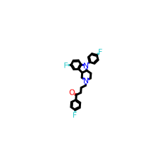 O=C(CCCN1CCC2C(C1)c1cc(F)ccc1N2c1ccc(F)cc1)c1ccc(F)cc1